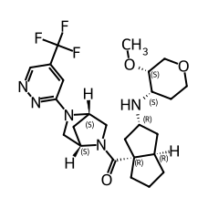 CO[C@@H]1COCC[C@@H]1N[C@@H]1C[C@H]2CCC[C@@]2(C(=O)N2C[C@@H]3C[C@H]2CN3c2cc(C(F)(F)F)cnn2)C1